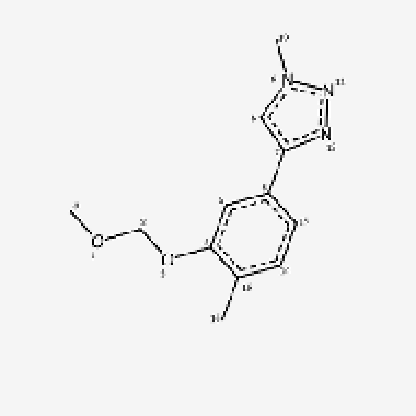 COCOc1cc(-c2cn(C)nn2)ccc1C